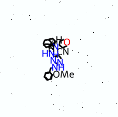 COc1ccccc1CNc1ncc(C#N)c(NC[C@]23CC4CC(C2)[C@@H](NC2CCOCC2)[C@@H](C4)C3)n1